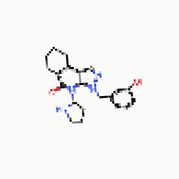 O=c1c2c(c3cnn(Cc4cccc(O)c4)c3n1C1CCCN1)CCCC2